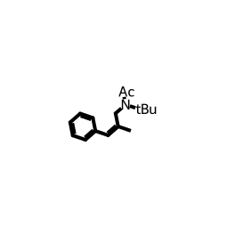 CC(=O)N(C/C(C)=C\c1ccccc1)C(C)(C)C